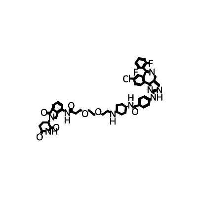 O=C1CCC(N2Cc3c(NC(=O)CCOCCOCCN[C@H]4CC[C@@H](NC(=O)c5ccc(Nc6ncc7c(n6)-c6ccc(Cl)cc6C(c6c(F)cccc6F)=NC7)cc5)CC4)cccc3C2=O)C(=O)N1